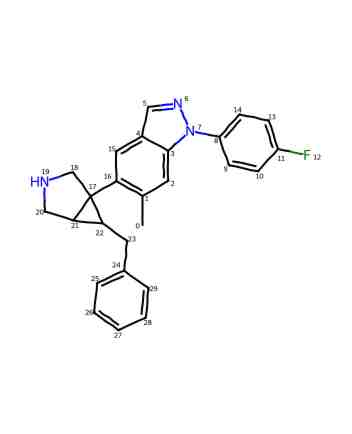 Cc1cc2c(cnn2-c2ccc(F)cc2)cc1C12CNCC1C2Cc1ccccc1